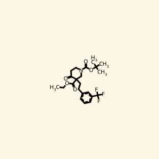 CCOC(=O)C1(CCc2cccc(C(F)(F)F)c2)CN(C(=O)OC(C)(C)C)CCC1=O